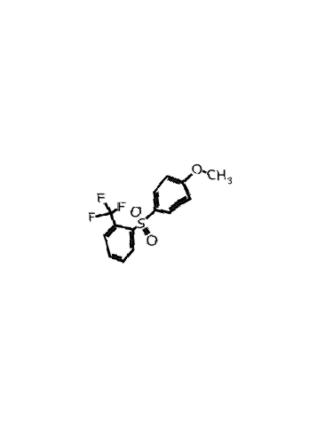 COc1ccc(S(=O)(=O)c2ccccc2C(F)(F)F)cc1